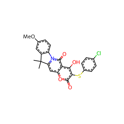 COc1ccc2c(c1)C(C)(C)c1cc3oc(=O)c(Sc4ccc(Cl)cc4)c(O)c3c(=O)n1-2